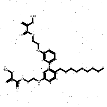 C=C(CO)C(=O)OCCOc1cccc(-c2cc(OCCOC(=O)C(=C)CO)ccc2CCCCCCCCC)c1